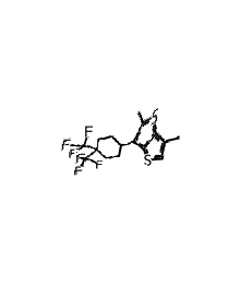 Cc1sc2c(C)csc2c1C1CCC(C(F)(F)F)(C(F)(F)F)CC1